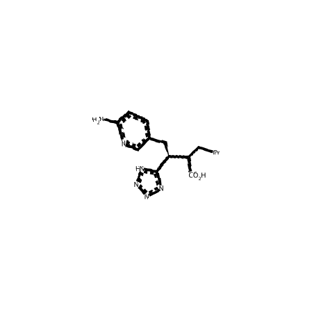 CC(C)CC(C(=O)O)[C@H](Cc1ccc(N)nc1)c1nnn[nH]1